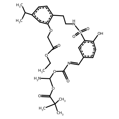 CCOC(=O)COc1cc(C(C)C)ccc1CCNS(=O)(=O)c1cc(C=NC(=O)OC(N)OC(=O)C(C)(C)C)ccc1O